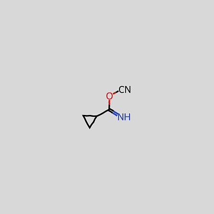 N#COC(=N)C1CC1